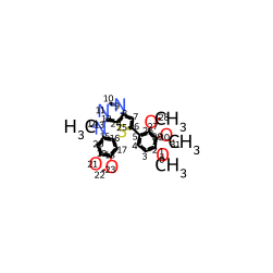 COc1ccc(-c2cc3ncnc(N(C)c4ccc5c(c4)OCO5)c3s2)c(OC)c1OC